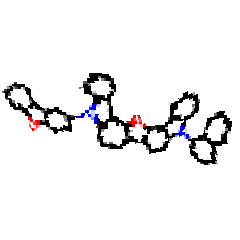 c1ccc2c(-n3c4ccccc4c4c5oc6c(ccc7c6c6ccccc6n7-c6ccc7oc8ccccc8c7c6)c5ccc43)cccc2c1